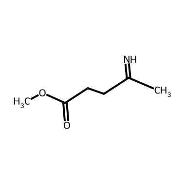 COC(=O)CCC(C)=N